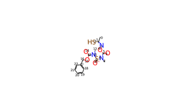 CC(S)=NOC(=O)N(C)[S+]([O-])N(C)C(=O)OCc1ccccc1